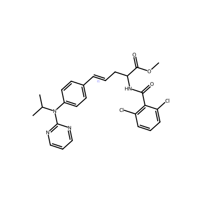 COC(=O)C(C/C=C/c1ccc(N(c2ncccn2)C(C)C)cc1)NC(=O)c1c(Cl)cccc1Cl